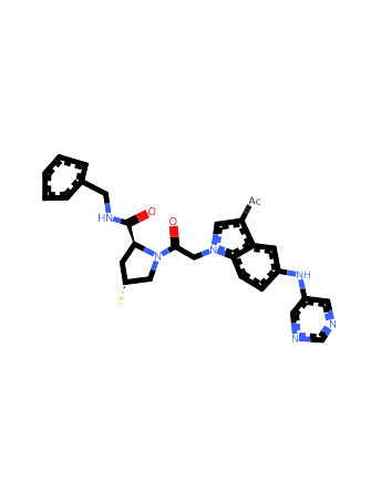 CC(=O)c1cn(CC(=O)N2C[C@H](F)C[C@H]2C(=O)NCc2ccccc2)c2ccc(Nc3cncnc3)cc12